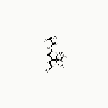 C=C(C)C(=O)OCC(=O)C(CCC)[Si](OC)(OC)OC